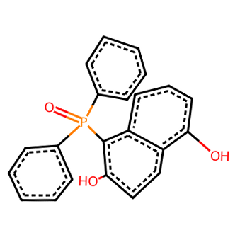 O=P(c1ccccc1)(c1ccccc1)c1c(O)ccc2c(O)cccc12